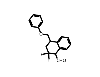 O=CC1c2ccccc2C(COc2ccccc2)CC1(F)F